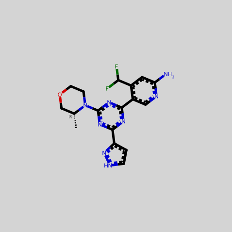 C[C@@H]1COCCN1c1nc(-c2cc[nH]n2)nc(-c2cnc(N)cc2C(F)F)n1